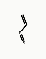 C=CP=S